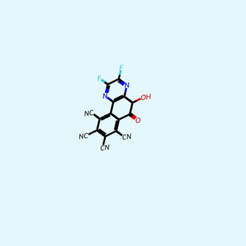 N#Cc1c(C#N)c(C#N)c2c(c1C#N)C(=O)C(O)c1nc(F)c(F)nc1-2